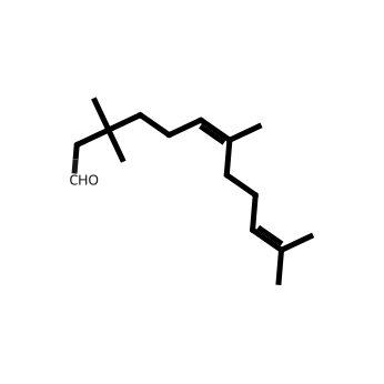 CC(C)=CCCC(C)=CCCC(C)(C)CC=O